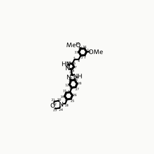 COc1cc(CCc2cc(-c3nc4cc(-c5ccc(CN6CCOCC6)cc5)ccc4[nH]3)n[nH]2)cc(OC)c1